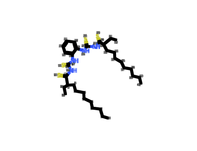 CCCCCCCCCC(CC)C(=S)NC(=S)Nc1ccccc1NC(=S)NC(=S)C(CC)CCCCCCCCC